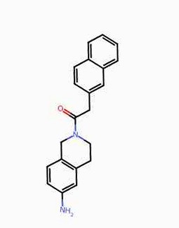 Nc1ccc2c(c1)CCN(C(=O)Cc1ccc3ccccc3c1)C2